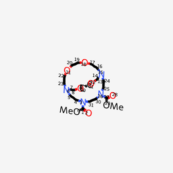 COC(=O)N1CCN2CCOCCOCCN(CCOCCOCC2)CCN(C(=O)OC)CC1